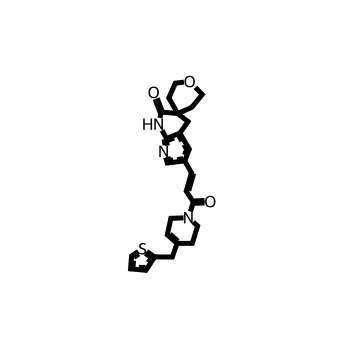 O=C(C=Cc1cnc2c(c1)CC1(CCOCC1)C(=O)N2)N1CC=C(Cc2cccs2)CC1